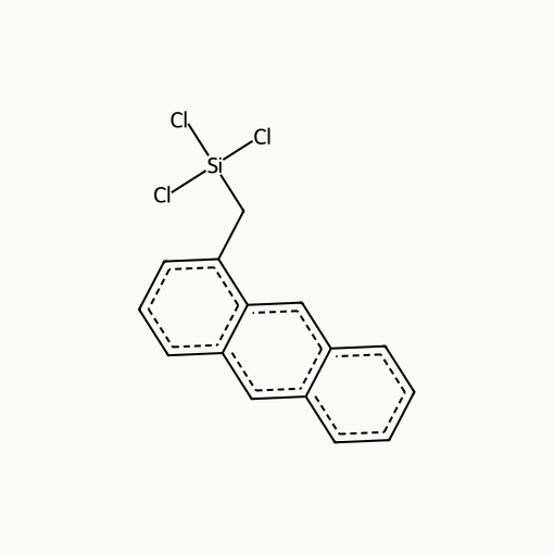 Cl[Si](Cl)(Cl)Cc1cccc2cc3ccccc3cc12